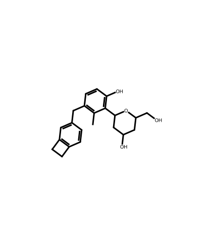 Cc1c(Cc2ccc3c(c2)CC3)ccc(O)c1C1CC(O)CC(CO)O1